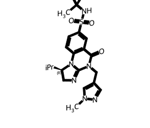 CC(C)[C@@H]1CN=C2N(Cc3cnn(C)c3)C(=O)c3cc(S(=O)(=O)NC4(C)CC4)ccc3N21